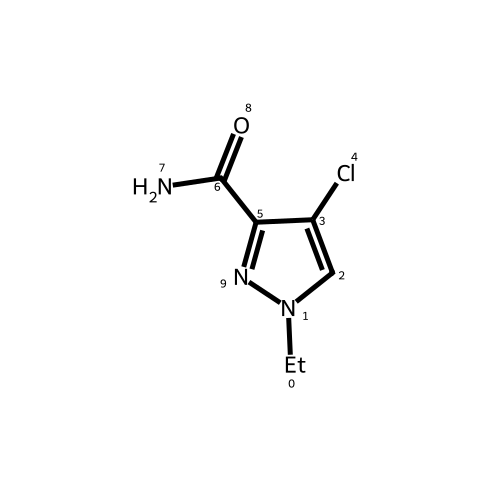 CCn1cc(Cl)c(C(N)=O)n1